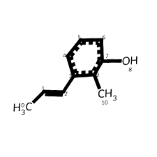 CC=Cc1cccc(O)c1C